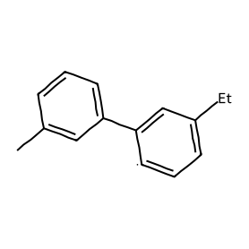 CCc1cc[c]c(-c2cccc(C)c2)c1